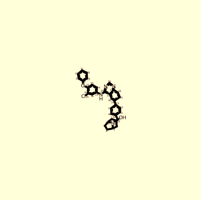 OC1CC2CCC(C1)N2Cc1ccc(-c2ccc3ncnc(Nc4ccc(Oc5ccccc5)c(Cl)c4)c3c2)cc1